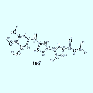 Br.COc1cc(Nc2nc(-c3cc(C(=O)OC(C)C)sc3C)cs2)cc(OC)c1OC